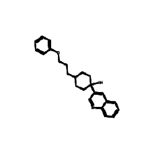 OC1(c2cnc3ccccc3c2)CCN(CCCOc2ccccc2)CC1